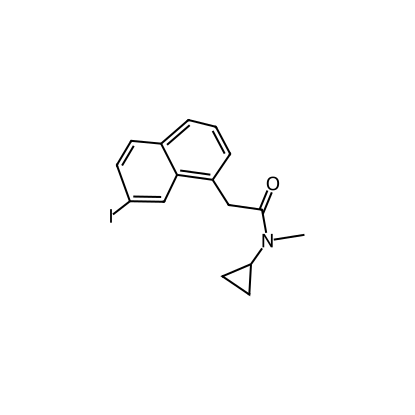 CN(C(=O)Cc1cccc2ccc(I)cc12)C1CC1